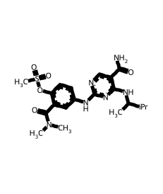 CC(C)C(C)Nc1nc(Nc2ccc(OS(C)(=O)=O)c(C(=O)N(C)C)c2)ncc1C(N)=O